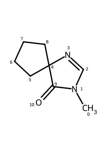 CN1C=NC2(CCCC2)C1=O